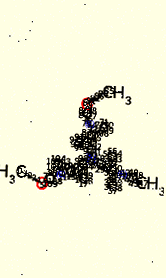 CC#CC#COc1ccc(/C=C/c2cc(-c3ccccc3)c(-c3ccc(N(c4ccc(-c5cc(-c6ccccc6)c(/C=C/c6ccc(C)cc6)cc5-c5ccccc5)cc4)c4ccc(-c5cc(-c6ccccc6)c(/C=C/c6ccc(OC#CC#CC)cc6)cc5-c5ccccc5)cc4)cc3)cc2-c2ccccc2)cc1